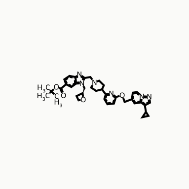 CC(C)(C)OC(=O)c1ccc2nc(CN3CCC(c4cccc(OCc5ccn6ncc(C7CC7)c6c5)n4)CC3)n(C[C@@H]3CCO3)c2c1